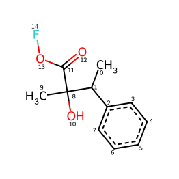 CC(c1ccccc1)C(C)(O)C(=O)OF